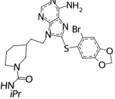 CC(C)NC(=O)N1CCCC(CCn2c(Sc3cc4c(cc3Br)OCO4)nc3c(N)ncnc32)C1